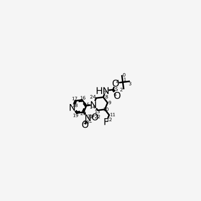 CC(C)(C)OC(=O)NC1CC(CF)CN(c2ccncc2[N+](=O)[O-])C1